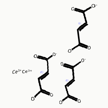 O=C([O-])/C=C/C(=O)[O-].O=C([O-])/C=C/C(=O)[O-].O=C([O-])/C=C/C(=O)[O-].[Ce+3].[Ce+3]